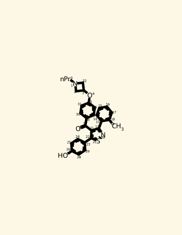 CCCN1CC(Oc2ccc(C(=O)c3c(-c4ccccc4C)nsc3-c3ccc(O)cc3)cc2)C1